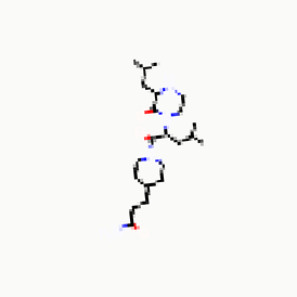 CC(C)CC1NCCN(C(CC(C)C)C(=O)N2CCC(CCC(N)=O)CC2)C1=O